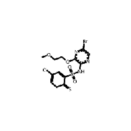 COCCOc1nc(Br)cnc1NS(=O)(=O)C1=CC(Cl)=CCC1=S